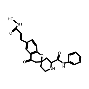 O=C(/C=C/c1ccc2c(c1)C(=O)CC1(CCNC(C(=O)Nc3ccccc3)C1)O2)NO